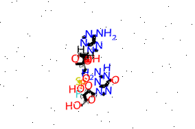 Nc1nc2c(ncn2[C@@H]2O[C@H](CO)[C@H](F)[C@H]2OP(O)(=S)OCC[C@@]23CO[C@@H]([C@H](n4cnc5c(N)ncnc54)O2)[C@@H]3O)c(=O)[nH]1